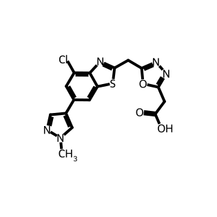 Cn1cc(-c2cc(Cl)c3nc(Cc4nnc(CC(=O)O)o4)sc3c2)cn1